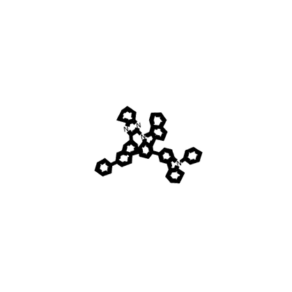 c1ccc(-c2ccc3ccc(-c4nc5ccccc5nc4-n4c5cccc(-c6ccc7c(c6)c6ccccc6n7-c6ccccc6)c5c5ccc6ccccc6c54)cc3c2)cc1